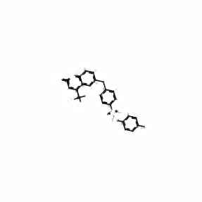 O=c1cc(C(F)(F)F)c2cc(Cc3ccc(S(=O)(=O)Nc4ccc(F)cc4)cc3)ccc2o1